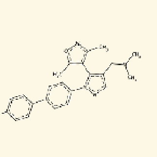 Cc1noc(C)c1-c1c(CN(C)C)cnn1-c1ccc(-c2ccc(F)cc2)cc1